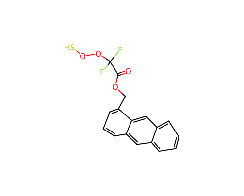 O=C(OCc1cccc2cc3ccccc3cc12)C(F)(F)OOS